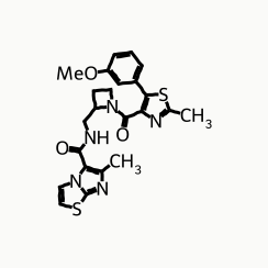 COc1cccc(-c2sc(C)nc2C(=O)N2CCC2CNC(=O)c2c(C)nc3sccn23)c1